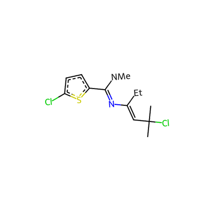 CCC(=C\C(C)(C)Cl)/N=C(\NC)c1ccc(Cl)s1